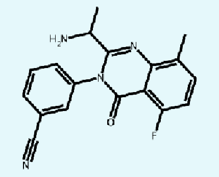 Cc1ccc(F)c2c(=O)n(-c3cccc(C#N)c3)c(C(C)N)nc12